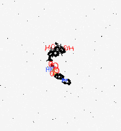 CC[C@H]1[C@@H](O)[C@@H]2[C@H](CC[C@]3(C)[C@@H]([C@H](C)COC(=O)NS(=O)(=O)c4ccc(N5CCC(C)(C)CC5)cc4)CC[C@@H]23)[C@@]2(C)CC[C@@H](O)C[C@@H]12